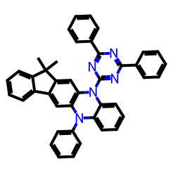 CC1(C)c2ccccc2-c2cc3c(cc21)N(c1nc(-c2ccccc2)nc(-c2ccccc2)n1)c1ccccc1N3c1ccccc1